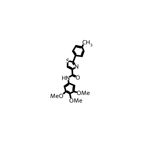 COc1cc(NC(=O)c2csc(-c3ccc(C)cc3)n2)cc(OC)c1OC